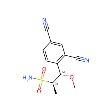 CO[C@@H](c1ccc(C#N)cc1C#N)[C@@H](C)S(N)(=O)=O